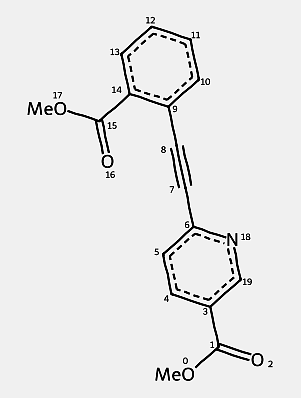 COC(=O)c1ccc(C#Cc2ccccc2C(=O)OC)nc1